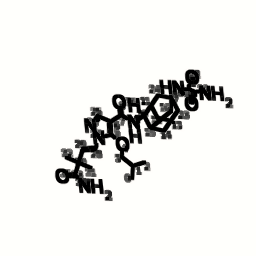 CC(C)COc1c(C(=O)N[C@H]2C3CC4CC2C[C@](NS(N)(=O)=O)(C4)C3)cnn1/C=C/C(C)(C)C(N)=O